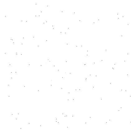 CCC(COC(N)=O)OC=O